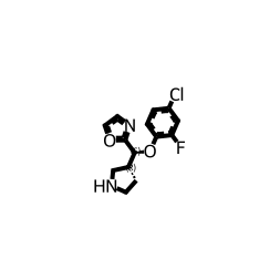 Fc1cc(Cl)ccc1O[C@H](c1ncco1)[C@@H]1CCNC1